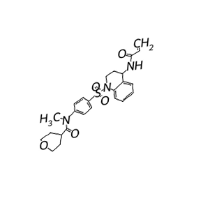 C=CC(=O)NC1CCN(S(=O)(=O)c2ccc(N(C)C(=O)C3CCOCC3)cc2)c2ccccc21